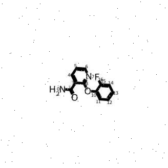 NC(=O)c1cccnc1Oc1ccccc1F